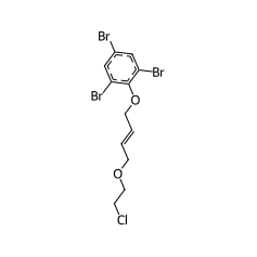 ClCCOC/C=C/COc1c(Br)cc(Br)cc1Br